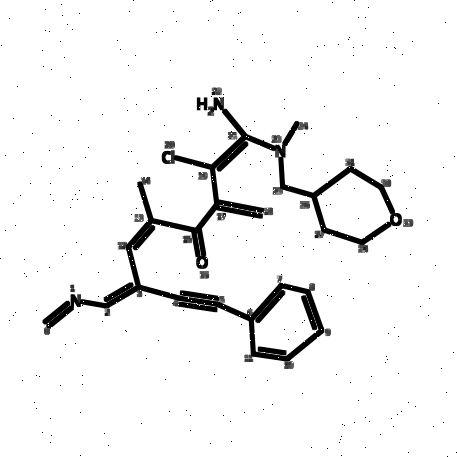 C=N/C=C(C#Cc1ccccc1)\C=C(\C)C(=O)C(=C)/C(Cl)=C(/N)N(C)CC1CCOCC1